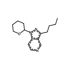 CCCCc1nn(C2CCCCO2)c2ccncc12